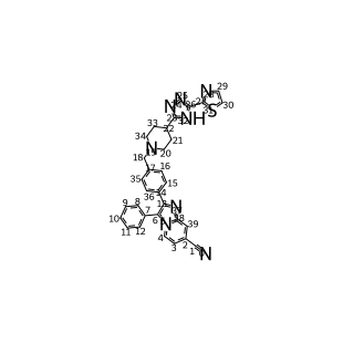 N#Cc1ccn2c(-c3ccccc3)c(-c3ccc(CN4CCC(c5nnc(-c6nccs6)[nH]5)CC4)cc3)nc2c1